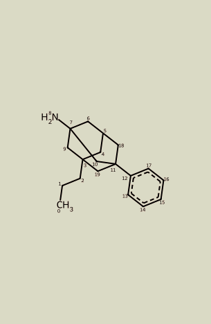 CCCC12CC3CC(N)(C1)CC(c1ccccc1)(C3)C2